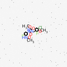 COc1c(Cl)ccc(Cn2c(=O)c(OC)nn(-c3ccc(F)c(NC(C)=O)c3)c2=O)c1F